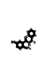 C[C@H](NC(=O)c1cc(Br)ccc1N)c1ccccc1